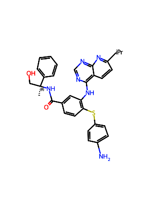 CC(C)c1ccc2c(Nc3cc(C(=O)N[C@@](C)(CO)c4ccccc4)ccc3Sc3ccc(N)cc3)ncnc2n1